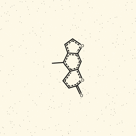 Cc1c2ccoc2cc2oc(=O)ccc12